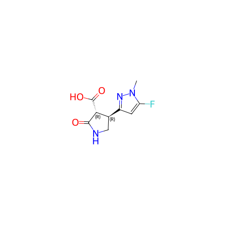 Cn1nc([C@H]2CNC(=O)[C@@H]2C(=O)O)cc1F